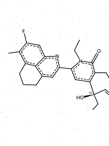 CCc1c([C@](O)(C=O)CC)cc(-c2cc3c4c(c(C)c(F)cc4n2)CCC3)n(CC)c1=O